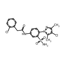 Cc1nn(-c2ccc(NC(=O)Cc3ccccc3Cl)cc2S(N)(=O)=O)c(C)c1Cl